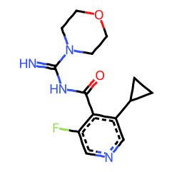 N=C(NC(=O)c1c(F)cncc1C1CC1)N1CCOCC1